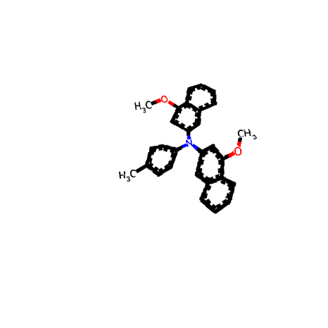 COc1cc(N(c2ccc(C)cc2)c2cc(OC)c3ccccc3c2)cc2ccccc12